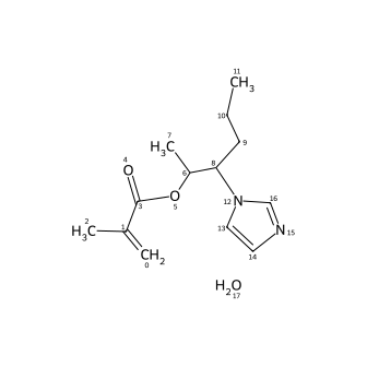 C=C(C)C(=O)OC(C)C(CCC)n1ccnc1.O